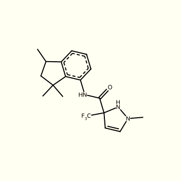 CC1CC(C)(C)c2c(NC(=O)C3(C(F)(F)F)C=CN(C)N3)cccc21